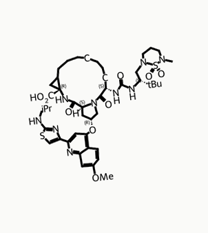 COc1ccc2c(O[C@@H]3C[C@H]4C(=O)N[C@]5(C(=O)O)CC5CCCCCCC[C@H](NC(=O)N[C@H](CN5CCCN(C)S5(=O)=O)C(C)(C)C)C(=O)N4C3)cc(-c3csc(NC(C)C)n3)nc2c1